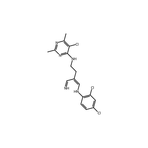 Cc1nc(C)c(Cl)c(NCC/C(C=N)=C/Nc2ccc(Cl)cc2Cl)n1